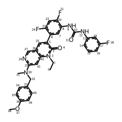 CCn1c(=O)c(-c2cc(NC(=O)Nc3cccc(F)c3)c(F)cc2F)cc2cnc(N(C)Cc3ccc(OC)cc3)cc21